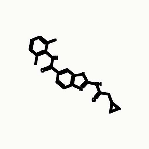 Cc1cccc(C)c1NC(=O)c1ccc2nc(NC(=O)CC3CC3)sc2c1